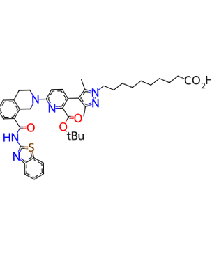 Cc1nn(CCCCCCCCCC(=O)O)c(C)c1-c1ccc(N2CCc3cccc(C(=O)Nc4nc5ccccc5s4)c3C2)nc1C(=O)OC(C)(C)C